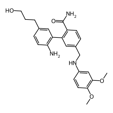 COc1ccc(NCc2ccc(C(N)=O)c(-c3cc(CCCO)ccc3N)c2)cc1OC